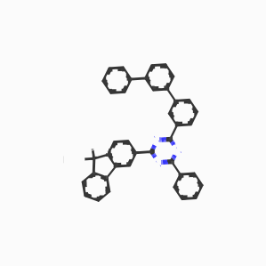 CC1(C)c2ccccc2-c2cc(-c3nc(-c4ccccc4)nc(-c4cccc(-c5cccc(-c6ccccc6)c5)c4)n3)ccc21